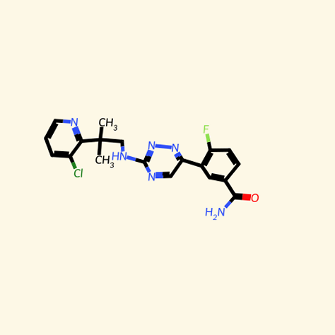 CC(C)(CNc1ncc(-c2cc(C(N)=O)ccc2F)nn1)c1ncccc1Cl